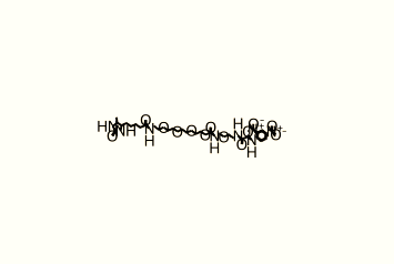 CC1NC(=O)NC1CCCCC(=O)NCCOCCOCCOCCOC(=O)NCOCCNC(=O)CNc1ccc([N+](=O)[O-])cc1[N+](=O)[O-]